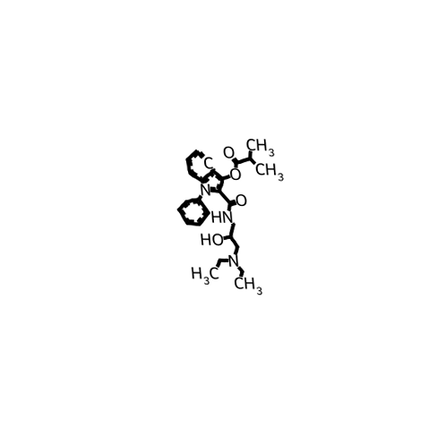 CCN(CC)CC(O)CNC(=O)c1c(OC(=O)C(C)C)c2ccccc2n1-c1ccccc1